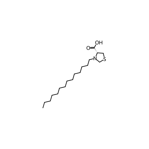 CCCCCCCCCCCCCCN1CSC[C@H]1C(=O)O